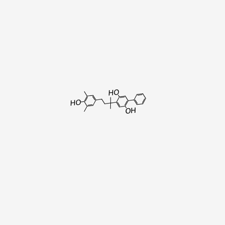 Cc1cc(CCC(C)(C)c2cc(O)c(-c3ccccc3)cc2O)cc(C)c1O